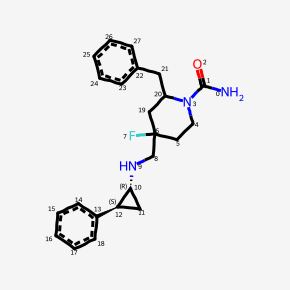 NC(=O)N1CCC(F)(CN[C@@H]2C[C@H]2c2ccccc2)CC1Cc1ccccc1